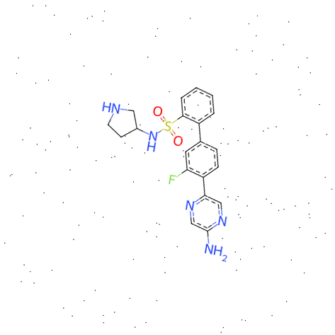 Nc1cnc(-c2ccc(-c3ccccc3S(=O)(=O)NC3CCNC3)cc2F)cn1